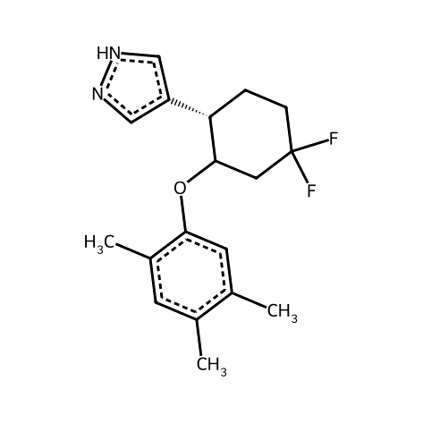 Cc1cc(C)c(OC2CC(F)(F)CC[C@H]2c2cn[nH]c2)cc1C